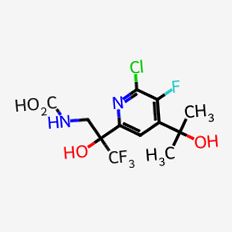 CC(C)(O)c1cc(C(O)(CNC(=O)O)C(F)(F)F)nc(Cl)c1F